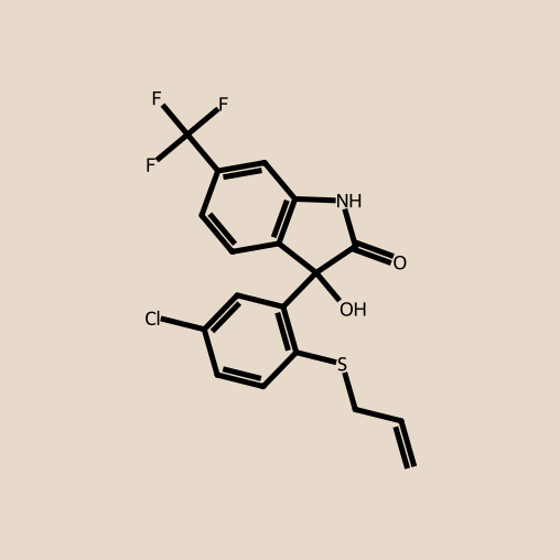 C=CCSc1ccc(Cl)cc1C1(O)C(=O)Nc2cc(C(F)(F)F)ccc21